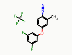 Cc1cc(Oc2cc(F)cc(F)c2)ccc1[N+]#N.F[B-](F)(F)F